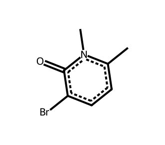 Cc1ccc(Br)c(=O)n1C